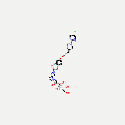 O=C(Cc1ccc(OCCCC2CCN(c3ncc(Cl)cn3)CC2)cc1F)N1CC2(CCN2C[C@H](O)[C@@H](O)[C@H](O)[C@H](O)CO)C1